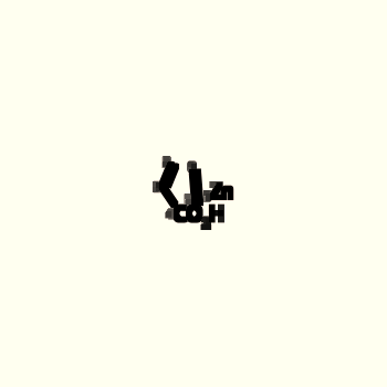 C=C.C=CC(=O)O.[Zn]